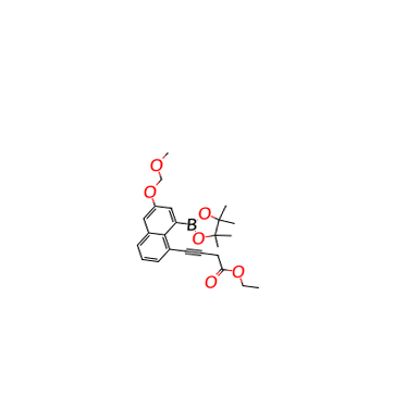 CCOC(=O)CC#Cc1cccc2cc(OCOC)cc(B3OC(C)(C)C(C)(C)O3)c12